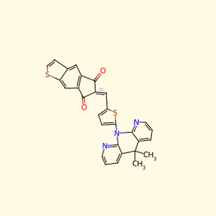 CC1(C)c2cccnc2N(c2ccc(/C=C3/C(=O)c4cc5ccsc5cc4C3=O)s2)c2ncccc21